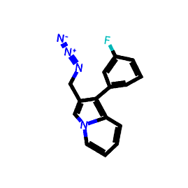 [N-]=[N+]=NCc1cn2ccccc2c1-c1cccc(F)c1